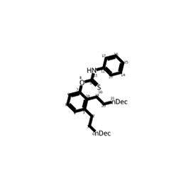 CCCCCCCCCCCCc1cccc(OC(=S)Nc2ccccc2)c1CCCCCCCCCCCC